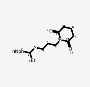 CCCCCCCCCC(CC)SCCCN1C(=O)CCCC1=O